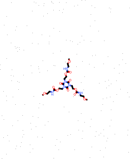 COCCNC(=O)OCCn1c(=O)n(CCOC(=O)NCCOC)c(=O)n(CCOC(=O)NCCOC)c1=O